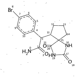 NC(=O)C(c1ccc(Br)cc1)C1CCCC12NC(=O)NC2=O